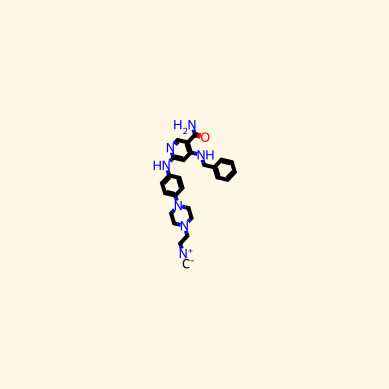 [C-]#[N+]CCN1CCN(c2ccc(Nc3cc(NCc4ccccc4)c(C(N)=O)cn3)cc2)CC1